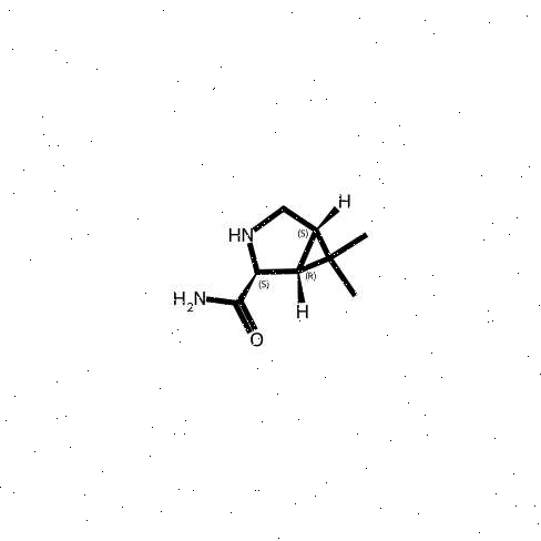 CC1(C)[C@@H]2[C@@H](C(N)=O)NC[C@@H]21